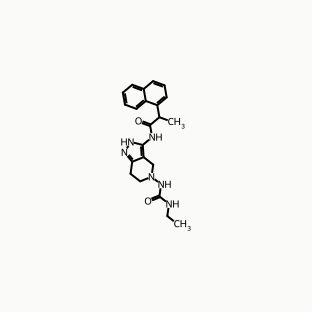 CCNC(=O)NN1CCc2n[nH]c(NC(=O)C(C)c3cccc4ccccc34)c2C1